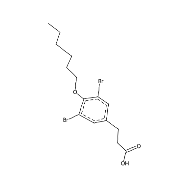 CCCCCCOc1c(Br)cc(CCC(=O)O)cc1Br